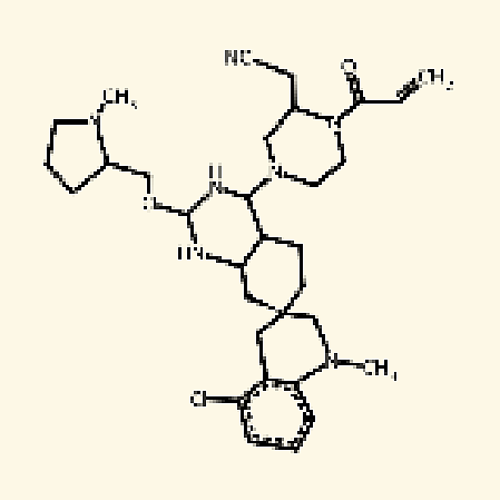 C=CC(=O)N1CCN(C2NC(OCC3CCCN3C)NC3C[C@]4(CCC32)Cc2c(Cl)cccc2N(C)C4)CC1CC#N